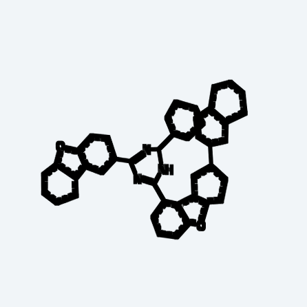 c1ccc(C2N=C(c3ccc4oc5ccccc5c4c3)N=C(c3cccc4oc5ccc(-c6ccc7ccccc7c6)cc5c34)N2)cc1